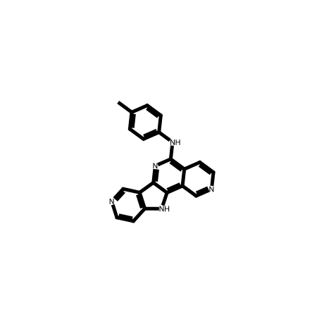 Cc1ccc(Nc2nc3c4cnccc4[nH]c3c3cnccc23)cc1